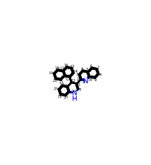 C1=C(c2ccc3ccccc3n2)C(c2cccc3ccccc23)c2ccccc2N1